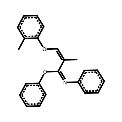 CC(=COc1ccccc1C)C(=Nc1ccccc1)Oc1ccccc1